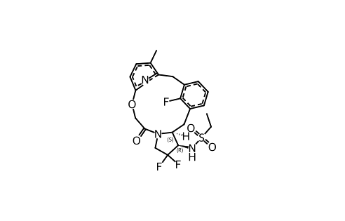 CCS(=O)(=O)N[C@@H]1[C@@H]2Cc3cccc(c3F)Cc3nc(ccc3C)OCC(=O)N2CC1(F)F